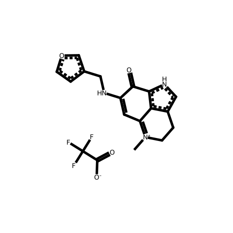 C[N+]1=C2C=C(NCc3ccoc3)C(=O)c3[nH]cc(c32)CC1.O=C([O-])C(F)(F)F